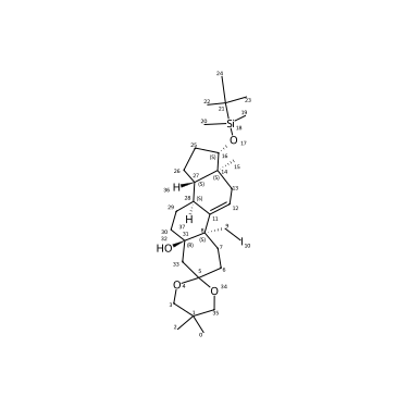 CC1(C)COC2(CC[C@]3(CI)C4=CC[C@]5(C)[C@@H](O[Si](C)(C)C(C)(C)C)CC[C@H]5[C@@H]4CC[C@@]3(O)C2)OC1